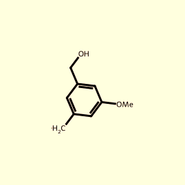 [CH2]c1cc(CO)cc(OC)c1